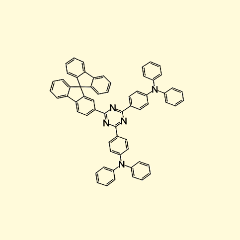 c1ccc(N(c2ccccc2)c2ccc(-c3nc(-c4ccc(N(c5ccccc5)c5ccccc5)cc4)nc(-c4ccc5c(c4)C4(c6ccccc6-c6ccccc64)c4ccccc4-5)n3)cc2)cc1